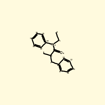 CCN(C(=O)C(C)Cc1ccccc1)c1ccccc1